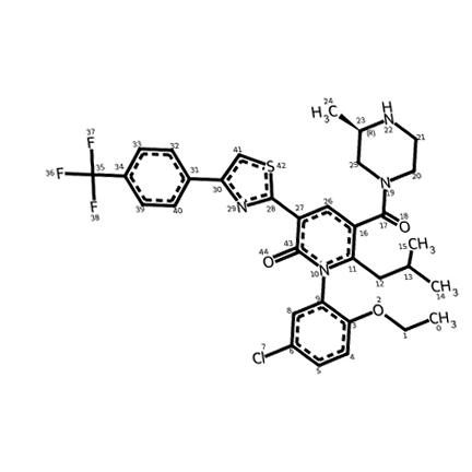 CCOc1ccc(Cl)cc1-n1c(CC(C)C)c(C(=O)N2CCN[C@H](C)C2)cc(-c2nc(-c3ccc(C(F)(F)F)cc3)cs2)c1=O